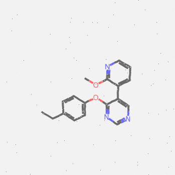 CCc1ccc(Oc2ncncc2-c2cccnc2OC)cc1